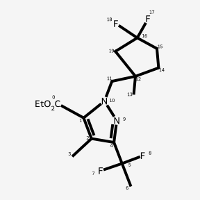 CCOC(=O)c1c(C)c(C(C)(F)F)nn1CC1(C)CCC(F)(F)C1